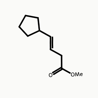 COC(=O)C/C=C/C1CCCC1